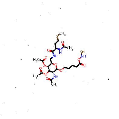 CSCCC(NC(C)=O)C(=O)NCC1O[C@@H](OCCCCC(=O)ONS)[C@@H](NC(C)=O)C(OC(C)=O)[C@H]1OC(C)=O